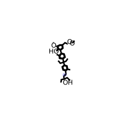 CCC(O)(/C=C/c1ccc(C(CC)(CC)c2ccc(-c3cc(CCOOC)cc(OC)c3O)c(C)c2)cc1C)CC